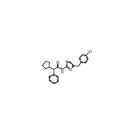 O=C(Nc1ncc(Cc2ccc(Cl)cc2)o1)C(c1ccccc1)C1CCCC1